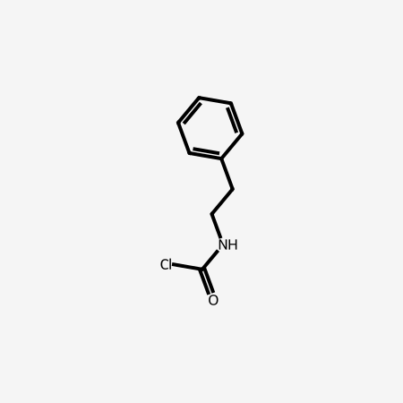 O=C(Cl)NCCc1ccccc1